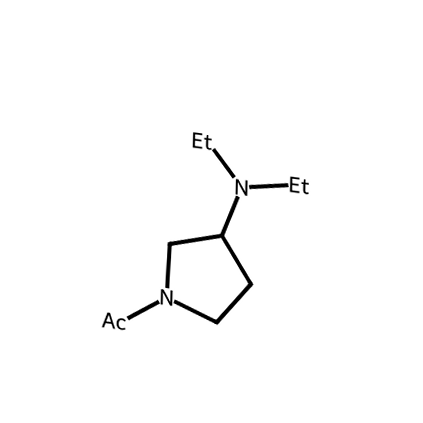 [CH2]C(=O)N1CCC(N(CC)CC)C1